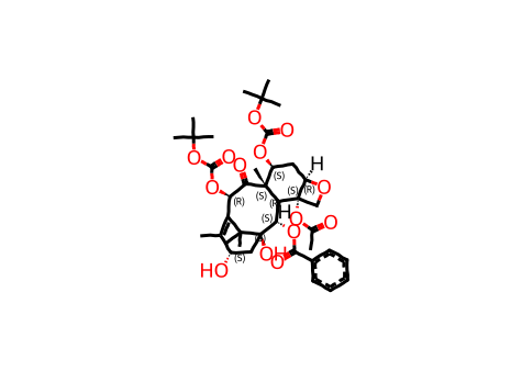 CC(=O)O[C@@]12CO[C@@H]1C[C@H](OC(=O)OC(C)(C)C)[C@@]1(C)C(=O)[C@H](OC(=O)OC(C)(C)C)C3=C(C)[C@@H](O)C[C@@](O)([C@@H](OC(=O)c4ccccc4)[C@H]21)C3(C)C